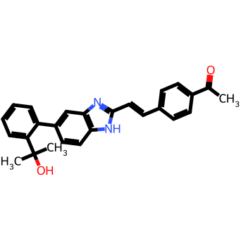 CC(=O)c1ccc(C=Cc2nc3cc(-c4ccccc4C(C)(C)O)ccc3[nH]2)cc1